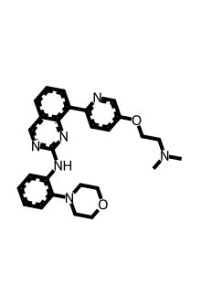 CN(C)CCOc1ccc(-c2cccc3cnc(Nc4ccccc4N4CCOCC4)nc23)nc1